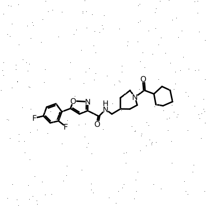 O=C(NCC1CCN(C(=O)C2CCCCC2)CC1)c1cc(-c2ccc(F)cc2F)on1